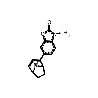 CN1C2C=CC(c3ccc4c(c3)oc(=O)n4C)C1CC2